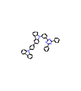 c1ccc(-c2nc(-c3ccccc3)nc(-c3cccc(-n4c5ccccc5c5cc(-c6ccc(-n7c8ccccc8c8ccccc87)cc6)ccc54)c3)n2)cc1